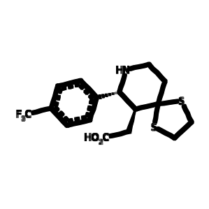 O=C(O)C[C@H]1[C@H](c2ccc(C(F)(F)F)cc2)NCCC12SCCS2